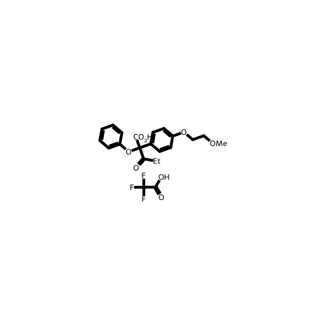 CCC(=O)C(Oc1ccccc1)(C(=O)O)c1ccc(OCCOC)cc1.O=C(O)C(F)(F)F